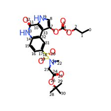 CCCOC(=O)Oc1c[nH]c2c(=O)[nH]c3ccc(S(=O)(=O)N(C)CC(=O)OC(C)(C)C)cc3c12